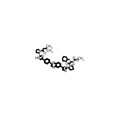 COC(=O)N[C@@H](CC1CCCCC1)C(=O)N1CCC[C@H]1c1ncc(-c2ccc3nc(-c4ccc(-c5c[nH]c([C@@H]6CCCN6C(=O)[CH]C(C)C)n5)cc4)cnc3c2)[nH]1